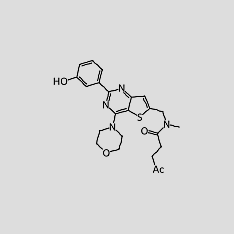 CC(=O)CCC(=O)N(C)Cc1cc2nc(-c3cccc(O)c3)nc(N3CCOCC3)c2s1